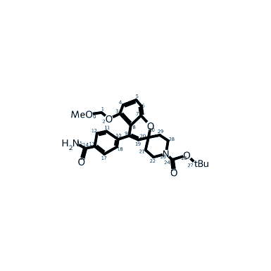 COCOc1cccc2c1C(c1ccc(C(N)=O)cc1)=CC1(CCN(C(=O)OC(C)(C)C)CC1)O2